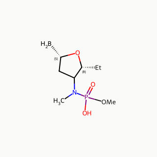 B[C@H]1CC(N(C)P(=O)(O)OC)[C@@H](CC)O1